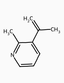 C=C(C)c1cccnc1C